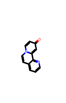 O=c1ccn2ccc3cccnc3c2c1